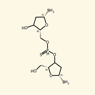 B[C@H]1CC(O)[C@@H](CO[PH](=S)OC2C[C@H](B)O[C@@H]2CO)O1